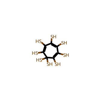 SC1=C(S)C(S)=C(S)C(S)(S)C(S)=C1S